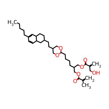 C=C(C)C(=O)OCC(CCCCC1OCC(CCC2CCC3C=C(CCCCC)C=CC3C2)CO1)COC(=O)C(=C)CO